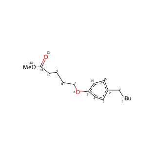 CCC(C)Cc1ccc(OCCCCC(=O)OC)cc1